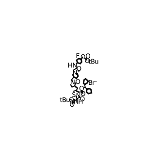 CC(C)(C)OC(=O)NC1C(=O)N2C(C(=O)OC(c3ccccc3)c3ccccc3)=C(C=C3CCN(Cc4ccc[n+](CC(=O)Nc5ccc(OC(=O)OC(C)(C)C)c(F)c5)c4)C3=O)CSC12.[Br-]